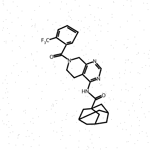 O=C(c1ccccc1C(F)(F)F)N1CCc2c(ncnc2NC(=O)C23CC4CC(CC(C4)C2)C3)C1